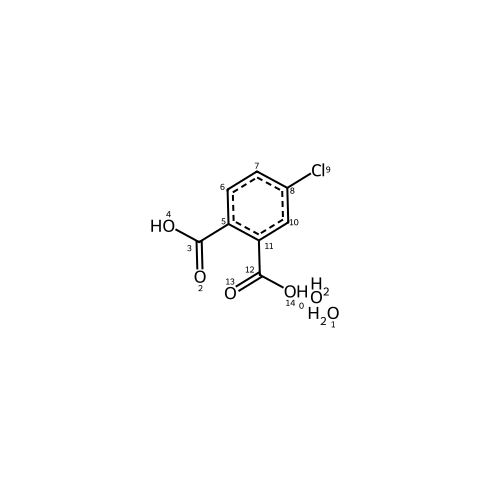 O.O.O=C(O)c1ccc(Cl)cc1C(=O)O